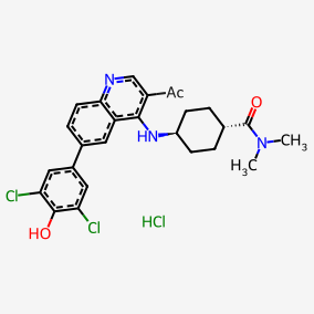 CC(=O)c1cnc2ccc(-c3cc(Cl)c(O)c(Cl)c3)cc2c1N[C@H]1CC[C@H](C(=O)N(C)C)CC1.Cl